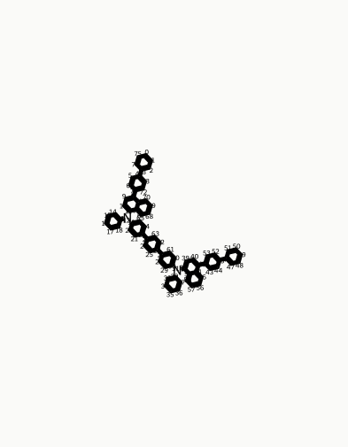 c1ccc(-c2ccc(-c3ccc(N(c4ccccc4)c4ccc(-c5ccc(-c6ccc(N(c7ccccc7)c7ccc(-c8ccc(-c9ccccc9)cc8)c8ccccc78)cc6)cc5)cc4)c4ccccc34)cc2)cc1